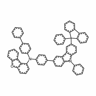 c1ccc(-c2ccc(N(c3ccc(-c4ccc5c(c4)c4cc(C6(c7ccccc7)c7ccccc7-c7ccccc76)ccc4n5-c4ccccc4)cc3)c3cccc4oc5ccccc5c34)cc2)cc1